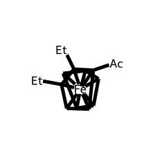 CC[C]12[CH]3[CH]4[C]5(C(C)=O)[C]1(CC)[Fe]34251678[CH]2[CH]1[CH]6[CH]7[CH]28